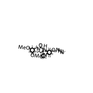 COc1cc(CN2CCC3(CC2=O)Nc2cc(OCN=[N+]=[N-])ccc2-n2cccc23)cc(OC)c1